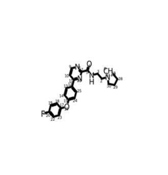 C[N+]1(CCNC(=O)c2nccc(-c3ccc(Oc4ccc(F)cc4)cc3)n2)CCCC1